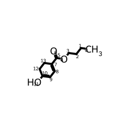 CCCCOC(=O)C1=CC=C(O)CC1